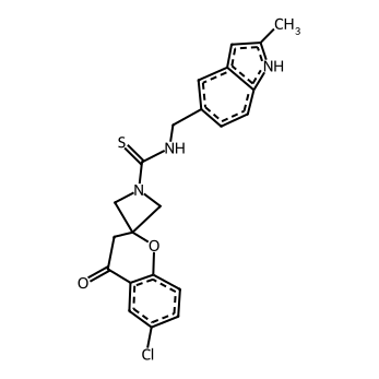 Cc1cc2cc(CNC(=S)N3CC4(CC(=O)c5cc(Cl)ccc5O4)C3)ccc2[nH]1